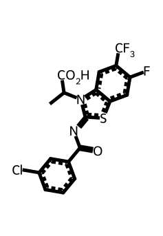 CC(C(=O)O)n1c(=NC(=O)c2cccc(Cl)c2)sc2cc(F)c(C(F)(F)F)cc21